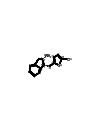 N[C@H]1Cc2ccccc2[C@H]1Cc1ccc(Cl)s1